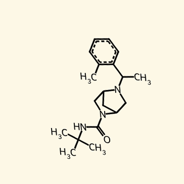 Cc1ccccc1C(C)N1CC2CC1CN2C(=O)NC(C)(C)C